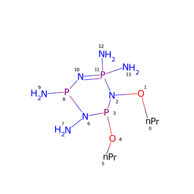 CCCON1P(OCCC)N(N)P(N)N=P1(N)N